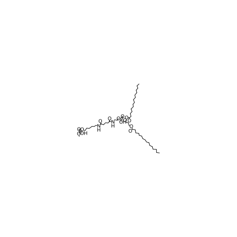 CCCCCCCCCCCCCCCC(=O)OCC(COP(=O)(O)OCCNC(=O)CCCC(=O)NCCCCCCOP(=O)(O)OC)OC(=O)CCCCCCCCCCCCCCC